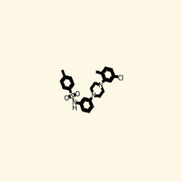 Cc1ccc(S(=O)(=O)Nc2cc[c]c(N3CCN(c4cc(Cl)ccc4C)CC3)c2)cc1